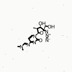 C[C@@H]1[C@H](n2ccc(/N=C/N(C)C)nc2=O)O[C@@](CO)(N=[N+]=[N-])[C@H]1O